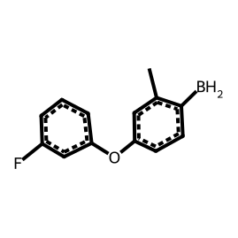 Bc1ccc(Oc2cccc(F)c2)cc1C